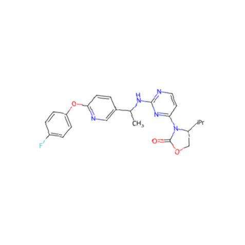 CC(Nc1nccc(N2C(=O)OCC2C(C)C)n1)c1ccc(Oc2ccc(F)cc2)nc1